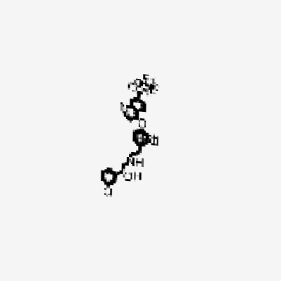 CCS(=O)(=O)NC(=O)c1ccc2c(Oc3ccc(CCNC[C@@H](O)c4cccc(Cl)c4)cc3)ccnc2c1.Cl.Cl